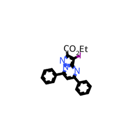 CCOC(=O)c1nn2c(-c3ccccc3)cc(-c3ccccc3)nc2c1I